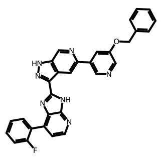 Fc1ccccc1-c1ccnc2[nH]c(-c3n[nH]c4cnc(-c5cncc(OCc6ccccc6)c5)cc34)nc12